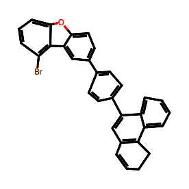 Brc1cccc2oc3ccc(-c4ccc(-c5cc6c(c7ccccc57)CCC=C6)cc4)cc3c12